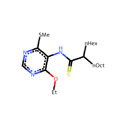 CCCCCCCCC(CCCCCC)C(=S)Nc1c(OCC)ncnc1SC